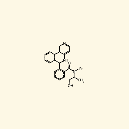 CC(C)N(C(=O)c1ccccc1C1NC2=CC=NCC2C2C=CC=CC12)[C@@H](C)CO